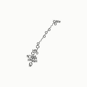 COC(=O)CCCCCOCCOCCOCCCCCCOc1ccc(CNC(=O)c2cccc(NC3(C(=N)NC(=N)c4ccncc4)CCN(C)CC3)c2)cc1